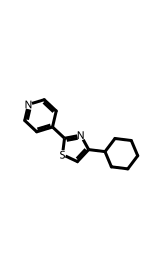 c1cc(-c2nc(C3CCCCC3)cs2)ccn1